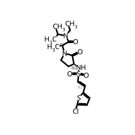 CCN(C(=O)[C@H](C)N1CC[C@H](NS(=O)(=O)/C=C/c2ccc(Cl)s2)C1=O)C(C)C